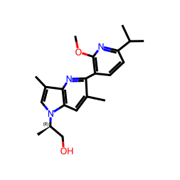 COc1nc(C(C)C)ccc1-c1nc2c(C)cn([C@H](C)CO)c2cc1C